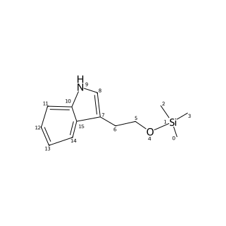 C[Si](C)(C)OCCc1c[nH]c2ccccc12